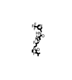 C=CN(CCC(F)Cn1cc(C(=O)NCc2cncc(C(F)(F)F)c2)nn1)C(=O)C(F)=C(C)C